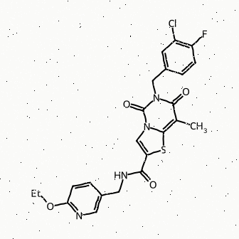 CCOc1ccc(CNC(=O)c2cn3c(=O)n(Cc4ccc(F)c(Cl)c4)c(=O)c(C)c3s2)cn1